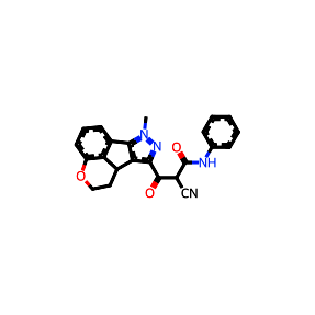 Cn1nc(C(=O)C(C#N)C(=O)Nc2ccccc2)c2c1-c1cccc3c1C2CCO3